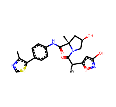 Cc1ncsc1-c1ccc(NC(=O)[C@]2(C)C[C@@H](O)CN2C(=O)C(c2cc(O)no2)C(C)C)cc1